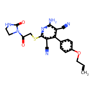 C=CCOc1ccc(-c2c(C#N)c(N)nc(SCC(=O)N3CCNC3=O)c2C#N)cc1